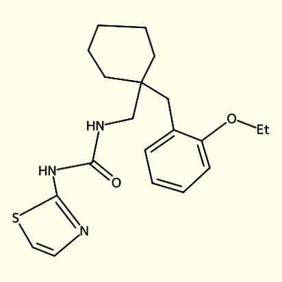 CCOc1ccccc1CC1(CNC(=O)Nc2nccs2)CCCCC1